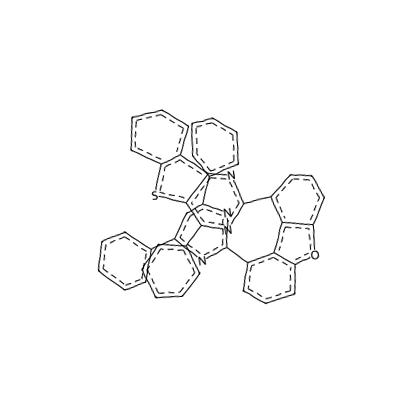 c1ccc(-c2cc(-c3ccccc3)nc(-c3cccc4oc5cccc(-c6nc(-c7ccccc7)c7sc8ccccc8c7n6)c5c34)n2)cc1